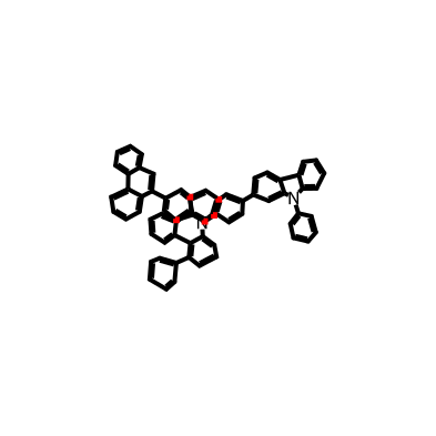 c1ccc(-c2ccccc2-c2c(-c3ccccc3)cccc2N(c2ccc(-c3ccc4c5ccccc5n(-c5ccccc5)c4c3)cc2)c2ccc(-c3cc4ccccc4c4ccccc34)cc2)cc1